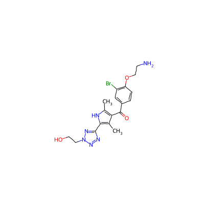 Cc1[nH]c(-c2nnn(CCO)n2)c(C)c1C(=O)c1ccc(OCCN)c(Br)c1